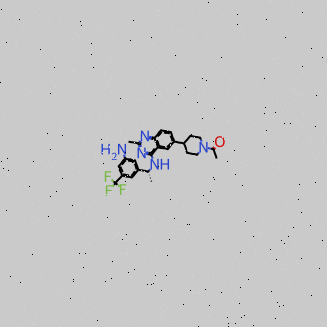 CC(=O)N1CCC(c2ccc3nc(C)nc(N[C@H](C)c4cc(N)cc(C(F)(F)F)c4)c3c2)CC1